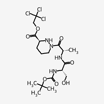 C[C@H](NC(=O)[C@H](CO)NC(=O)OC(C)(C)C)C(=O)N1CCC[C@@H](C(=O)OCC(Cl)(Cl)Cl)N1